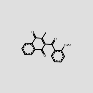 COc1ccccc1C(=O)C1=C(C)C(=O)c2ccccc2C1=O